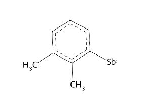 Cc1ccc[c]([Sb])c1C